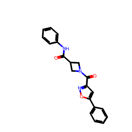 O=C(Nc1ccccc1)C1CN(C(=O)c2cc(-c3ccccc3)on2)C1